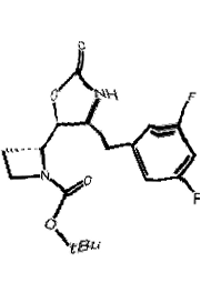 CC(C)(C)OC(=O)N1CC[C@@H]1[C@H]1OC(=O)N[C@H]1Cc1cc(F)cc(F)c1